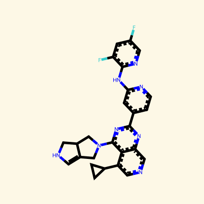 Fc1cnc(Nc2cc(-c3nc(N4CC5=CNCC5C4)c4c(C5CC5)cncc4n3)ccn2)c(F)c1